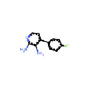 Nc1nccc(-c2ccc(F)cc2)c1N